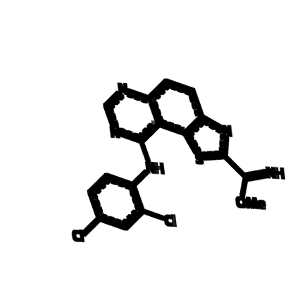 COC(=N)c1nc2ccc3ncnc(Nc4ccc(Cl)cc4Cl)c3c2s1